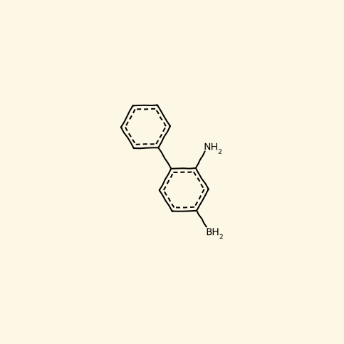 Bc1ccc(-c2ccccc2)c(N)c1